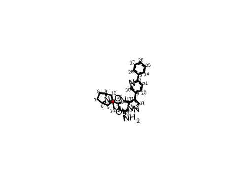 Nc1cc(C2CC3CCC(C2)N3C(=O)CO)nc2c(-c3ccc(-c4ccccc4)nc3)cnn12